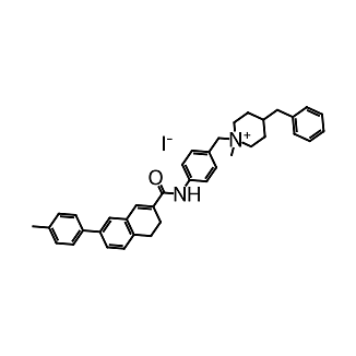 Cc1ccc(-c2ccc3c(c2)C=C(C(=O)Nc2ccc(C[N+]4(C)CCC(Cc5ccccc5)CC4)cc2)CC3)cc1.[I-]